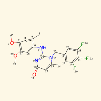 COc1cc(C)c(Nc2nc(=O)cc(C)n2Cc2cc(F)c(F)c(F)c2)cc1OC